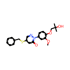 COc1cc(-n2ncc(SCc3ccccc3)cc2=O)ccc1OCC(C)(C)O